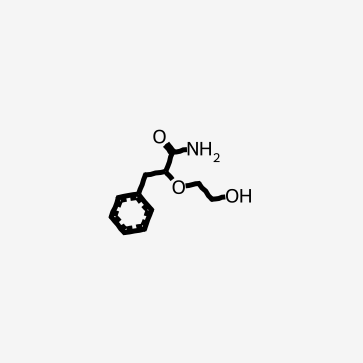 NC(=O)C(Cc1ccccc1)OCCO